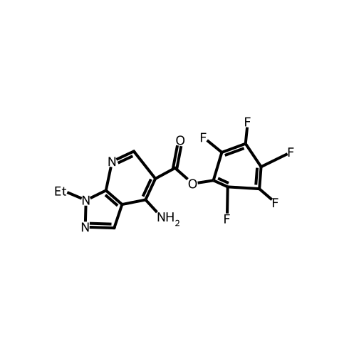 CCn1ncc2c(N)c(C(=O)Oc3c(F)c(F)c(F)c(F)c3F)cnc21